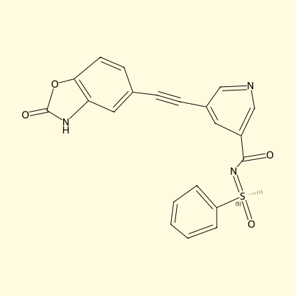 C[S@@](=O)(=NC(=O)c1cncc(C#Cc2ccc3oc(=O)[nH]c3c2)c1)c1ccccc1